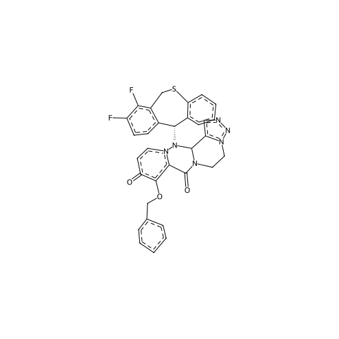 O=C1c2c(OCc3ccccc3)c(=O)ccn2N([C@H]2c3ccccc3SCc3c2ccc(F)c3F)C2c3cnnn3CCN12